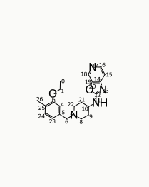 CCOc1cc(CN2CCC(Nc3nc4ccncc4o3)CC2)ccc1C